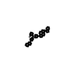 N#Cc1ccccc1N(c1ccc(-c2ccc3ccccc3c2)cc1)c1ccc(-c2ccc3ccc4c(N5CCc6ccccc65)ccc5ccc2c3c54)cc1